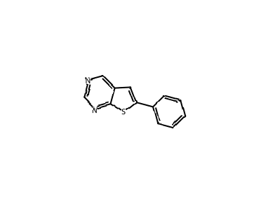 c1ccc(-c2cc3cncnc3s2)cc1